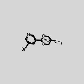 CC12COC(c3cncc(Br)c3)(OC1)OC2